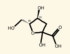 O=C(O)C1(O)C[C@H](O)[C@@H](CO)O1